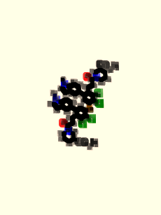 Cn1ccc2cc(-c3cc(Sc4cc(-c5ccc6c(ccn6C)c5)c(/C=C/C(=O)N5CCCC(C(=O)O)C5)c(Cl)c4Cl)c(Cl)c(Cl)c3/C=C/C(=O)N3CCCC(C(=O)O)C3)ccc21